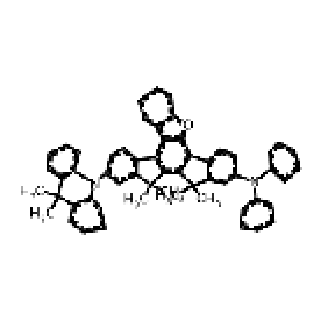 CC1(C)c2ccccc2N(c2ccc3c(c2)C(C)(C)c2c4c(c5oc6ccccc6c5c2-3)-c2ccc(N(c3ccccc3)c3ccccc3)cc2C4(C)C)c2ccccc21